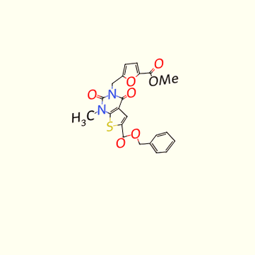 COC(=O)c1ccc(Cn2c(=O)c3cc(C(=O)OCc4ccccc4)sc3n(C)c2=O)o1